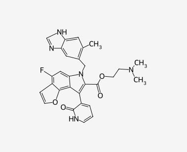 Cc1cc2[nH]cnc2cc1Cn1c(C(=O)OCCN(C)C)c(-c2ccc[nH]c2=O)c2c3occc3c(F)cc21